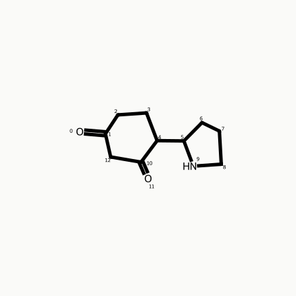 O=C1CCC(C2CCCN2)C(=O)C1